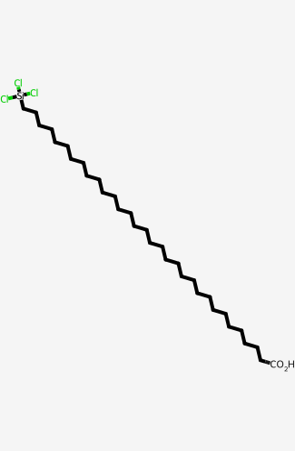 O=C(O)CCCCCCCCCCCCCCCCCCCCCCCCCCCCCCC[Si](Cl)(Cl)Cl